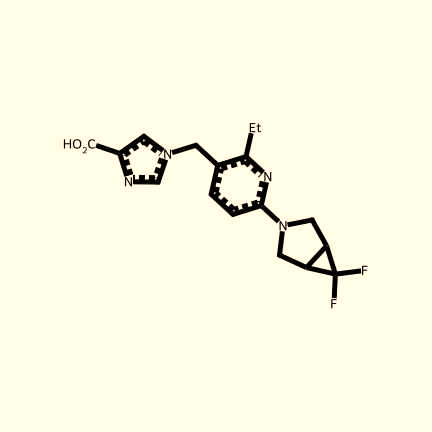 CCc1nc(N2CC3C(C2)C3(F)F)ccc1Cn1cnc(C(=O)O)c1